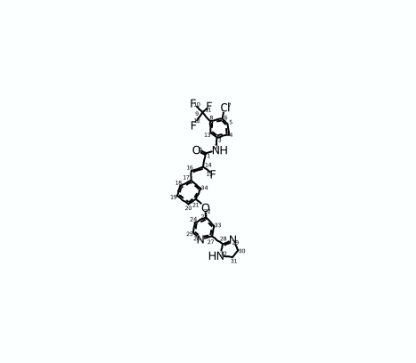 O=C(Nc1ccc(Cl)c(C(F)(F)F)c1)C(F)=Cc1cccc(Oc2ccnc(C3=NCCN3)c2)c1